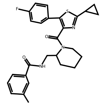 Cc1cccc(C(=O)NCC2CCCCN2C(=O)c2nc(C3CC3)sc2-c2ccc(F)cc2)c1